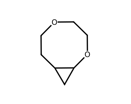 C1COC2CC2CCO1